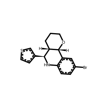 Brc1ccc2c(c1)[C@H]1OCCC[C@H]1[C@H](c1ccsc1)N2